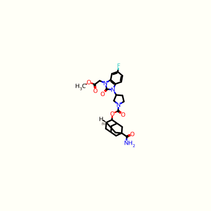 COC(=O)Cn1c(=O)n(C2CCN(C(=O)OC3C4CC5C[C@H]3CC(C(N)=O)(C5)C4)C2)c2ccc(F)cc21